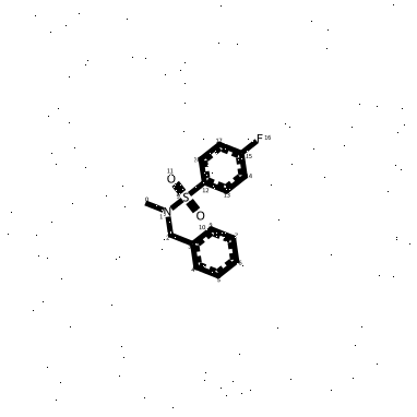 CN(Cc1ccccc1)S(=O)(=O)c1ccc(F)cc1